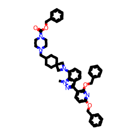 Cn1nc(-c2ccc(OCc3ccccc3)nc2OCc2ccccc2)c2cccc(N3CC4(CCC(CN5CCN(C(=O)OCc6ccccc6)CC5)CC4)C3)c21